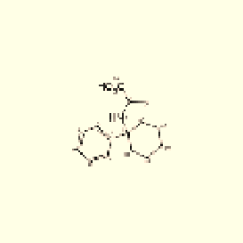 CC(NC1(c2ccccc2)CCCCC1)C(=O)O